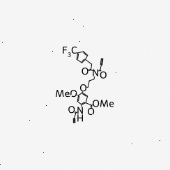 C#CC(=O)Nc1cc(OC)c(OCCCN(C(=O)C#C)C(=O)Cc2ccc(C(F)(F)F)cc2)cc1C(=O)OC